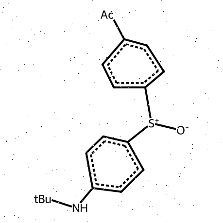 CC(=O)c1ccc([S+]([O-])c2ccc(NC(C)(C)C)cc2)cc1